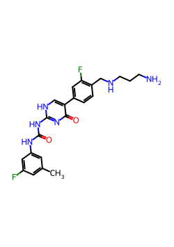 Cc1cc(F)cc(NC(=O)Nc2nc(=O)c(-c3ccc(CNCCCN)c(F)c3)c[nH]2)c1